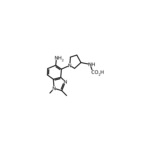 Cc1nc2c(N3CCC(NC(=O)O)C3)c(N)ccc2n1C